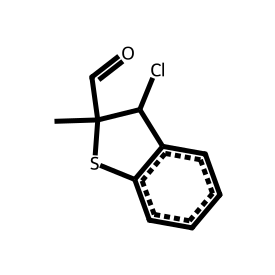 CC1(C=O)Sc2ccccc2C1Cl